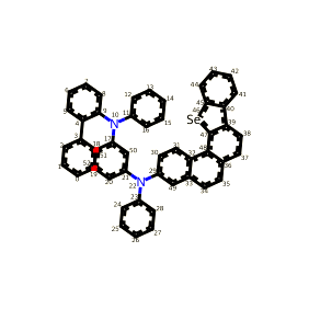 c1ccc(-c2ccccc2N(c2ccccc2)c2cccc(N(c3ccccc3)c3ccc4c(ccc5ccc6c7ccccc7[se]c6c54)c3)c2)cc1